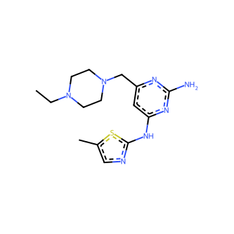 CCN1CCN(Cc2cc(Nc3ncc(C)s3)nc(N)n2)CC1